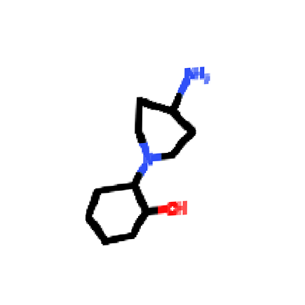 NC1CCN(C2CCCCC2O)CC1